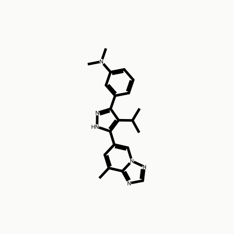 Cc1cc(-c2[nH]nc(-c3cccc(N(C)C)c3)c2C(C)C)cn2ncnc12